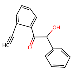 C#Cc1ccccc1C(=O)C(O)c1ccccc1